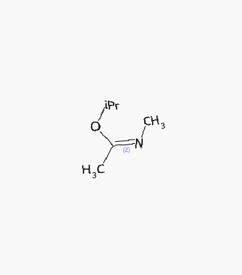 C/N=C(/C)OC(C)C